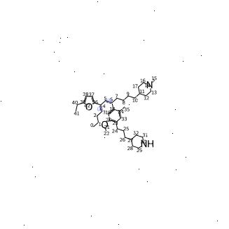 CCC/C=C(/C=C(/CCCCC1CCN(C)CC1)c1cc(OC)c(CCCC2CCNCC2)cc1C)c1ccc(CC)o1